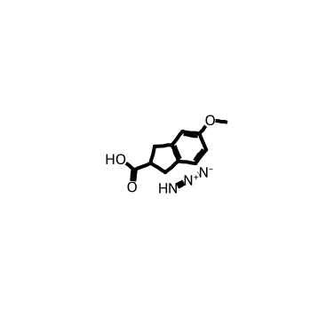 COc1ccc2c(c1)CC(C(=O)O)C2.[N-]=[N+]=N